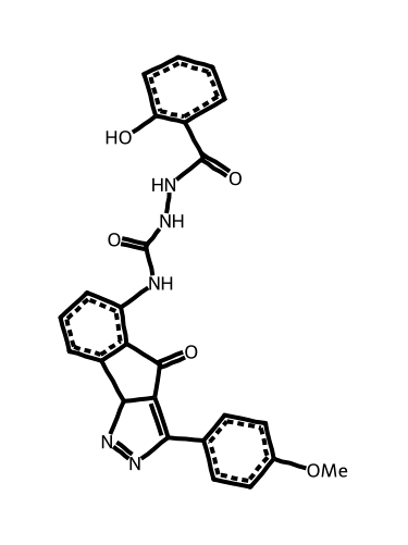 COc1ccc(C2=C3C(=O)c4c(NC(=O)NNC(=O)c5ccccc5O)cccc4C3N=N2)cc1